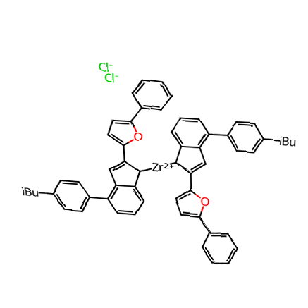 CCC(C)c1ccc(-c2cccc3c2C=C(c2ccc(-c4ccccc4)o2)[CH]3[Zr+2][CH]2C(c3ccc(-c4ccccc4)o3)=Cc3c(-c4ccc(C(C)CC)cc4)cccc32)cc1.[Cl-].[Cl-]